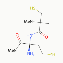 CNC(=O)[C@@](N)(CCS)NC(=O)C(C)(CS)NC